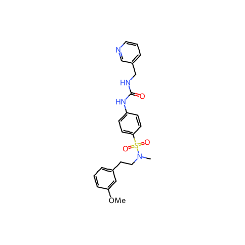 COc1cccc(CCN(C)S(=O)(=O)c2ccc(NC(=O)NCc3cccnc3)cc2)c1